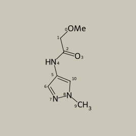 COCC(=O)Nc1cnn(C)c1